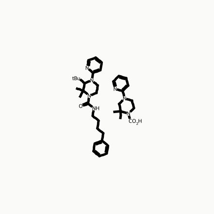 CC(C)(C)C1N(c2ccccn2)CCN(C(=O)NCCCCc2ccccc2)C1(C)C.CC1(C)CN(c2ccccn2)CCN1C(=O)O